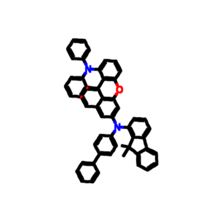 CC1(C)c2ccccc2-c2cccc(N(c3ccc(-c4ccccc4)cc3)c3cc4c5c(cccc5c3)-c3c(cccc3N(c3ccccc3)c3ccccc3)O4)c21